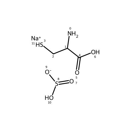 NC(CS)C(=O)O.O=S([O-])O.[Na+]